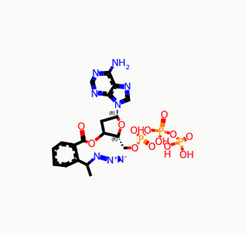 CC(N=[N+]=[N-])c1ccccc1C(=O)OC1C[C@H](n2cnc3c(N)ncnc32)O[C@@H]1COP(=O)(O)OP(=O)(O)OP(=O)(O)O